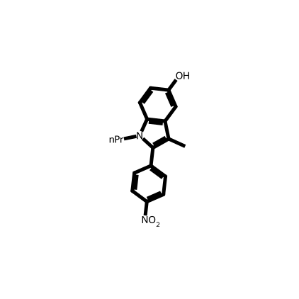 CCCn1c(-c2ccc([N+](=O)[O-])cc2)c(C)c2cc(O)ccc21